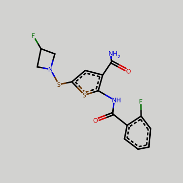 NC(=O)c1cc(SN2CC(F)C2)sc1NC(=O)c1ccccc1F